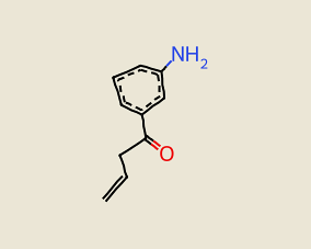 C=CCC(=O)c1cccc(N)c1